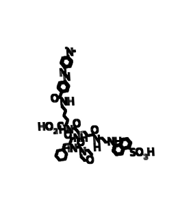 CN(C)c1ccc(/N=N/c2ccc(C(=O)NCCCC[C@H](NC(=O)[C@H](CCC(=O)NCCNc3cccc4c(S(=O)(=O)O)cccc34)NC(=O)[C@H](CC3CCCCC3)NC(=O)N3CCOCC3)C(=O)O)cc2)cc1